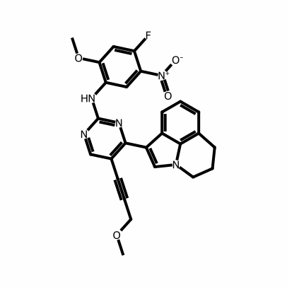 COCC#Cc1cnc(Nc2cc([N+](=O)[O-])c(F)cc2OC)nc1-c1cn2c3c(cccc13)CCC2